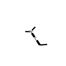 CC=C=[N+](C)C